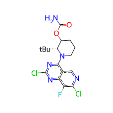 CC(C)(C)[C@@H]1C(OC(N)=O)CCCN1c1nc(Cl)nc2c(F)c(Cl)ncc12